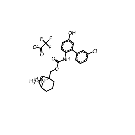 C[N+]1(C)C2CCCC1(COC(=O)Nc1ccc(O)cc1-c1cccc(Cl)c1)CC2.O=C([O-])C(F)(F)F